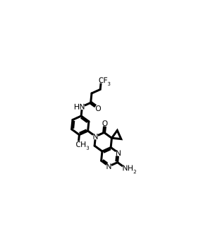 Cc1ccc(NC(=O)CCC(F)(F)F)cc1N1Cc2cnc(N)nc2C2(CC2)C1=O